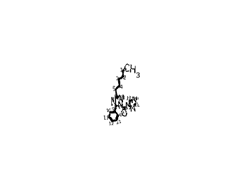 CCCCCCc1nc(-c2ccccc2)n(C(=O)n2cncn2)n1